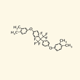 Cc1ccc(Oc2ccc(C(c3ccc(Oc4ccc(C)c(C)c4)cc3)(C(F)(F)F)C(F)(F)F)cc2)cc1C